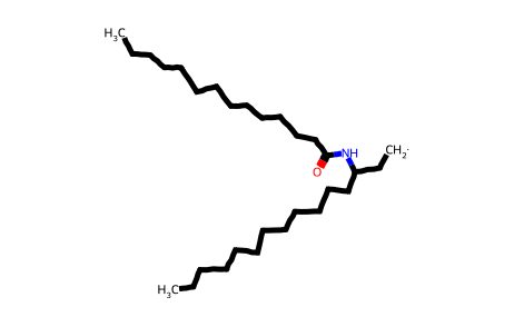 [CH2]CC(CCCCCCCCCCCC)NC(=O)CCCCCCCCCCCCC